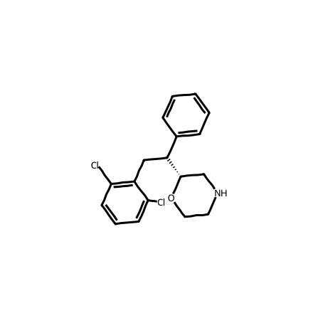 Clc1cccc(Cl)c1CC(c1ccccc1)[C@@H]1CNCCO1